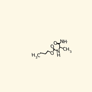 CCCCOC(=O)NC(C)C([NH])=O